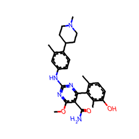 COc1nc(Nc2ccc(C3CCN(C)CC3)c(C)c2)nc(-c2c(C)ccc(O)c2C)c1C(N)=O